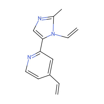 C=Cc1ccnc(-c2cnc(C)n2C=C)c1